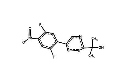 CC(C)(O)c1ncc(-c2cc(F)c([N+](=O)[O-])cc2F)cn1